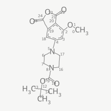 COc1cc(N2CCN(C(=O)OC(C)(C)C)CC2)cc2c1C(=O)OC2=O